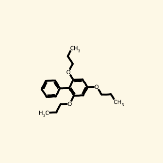 CCCOc1cc(OCCC)c(-c2ccccc2)c(OCCC)c1